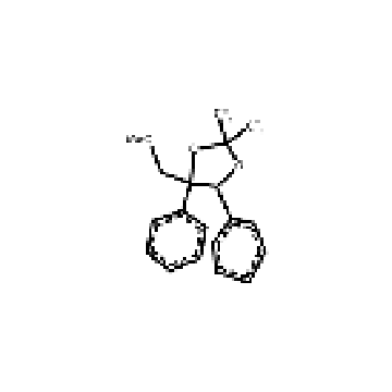 COCC1(c2ccccc2)OC(C(F)(F)F)(C(F)(F)F)OC1c1ccccc1